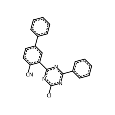 N#Cc1ccc(-c2ccccc2)cc1-c1nc(Cl)nc(-c2ccccc2)n1